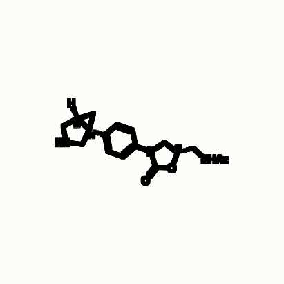 CC(=O)NC[C@H]1CN(c2ccc([C@]34CNC[C@@H]3C4)cc2)C(=O)O1